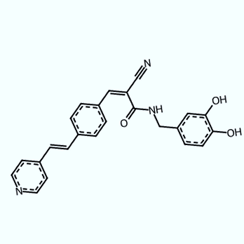 N#CC(=Cc1ccc(C=Cc2ccncc2)cc1)C(=O)NCc1ccc(O)c(O)c1